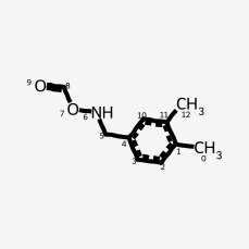 Cc1ccc(CNOC=O)cc1C